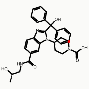 C[C@@H](O)CNC(=O)c1ccc2nc(C(O)(c3ccccc3)c3ccccc3)n(C3CCN(C(=O)O)CC3)c2c1